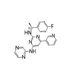 C[C@H](Nc1nc(Nc2cnccn2)cc(-c2cccnc2)n1)c1ccc(F)cc1